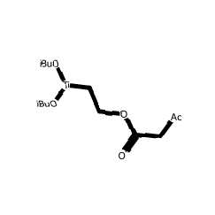 CC(=O)CC(=O)OC[CH2][Ti]([O]CC(C)C)[O]CC(C)C